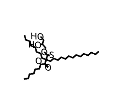 CCCCCCCCCCCCCCC(C(=O)CCCCCCC)(C(=O)CCCCCCC)C(=S)OCC(O)CO